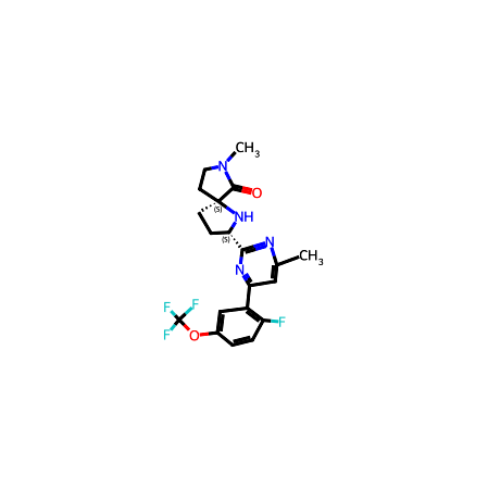 Cc1cc(-c2cc(OC(F)(F)F)ccc2F)nc([C@@H]2CC[C@@]3(CCN(C)C3=O)N2)n1